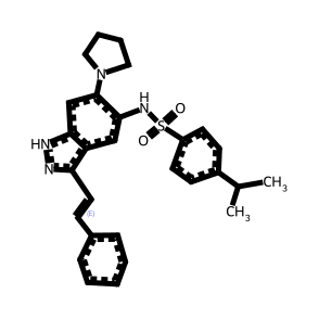 CC(C)c1ccc(S(=O)(=O)Nc2cc3c(/C=C/c4ccccc4)n[nH]c3cc2N2CCCC2)cc1